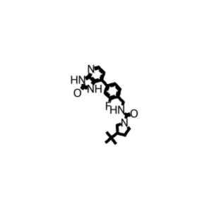 CC(C)(C)C1CCN(C(=O)NCc2ccc(-c3ccnc4[nH]c(=O)[nH]c34)cc2F)C1